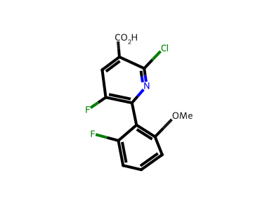 COc1cccc(F)c1-c1nc(Cl)c(C(=O)O)cc1F